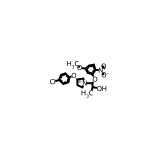 COc1ccc([N+](=O)[O-])c(OC(C(C)O)N2CC[C@H](Oc3ccc(Cl)cc3)C2)c1